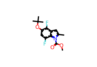 COC(=O)n1c(C)cc2c(F)c(OC(C)(C)C)cc(F)c21